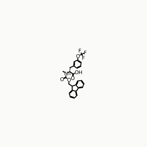 CN(C(=O)OCC1c2ccccc2-c2ccccc21)[C@@H](Cc1cccc(OC(F)(F)F)c1)C(=O)O